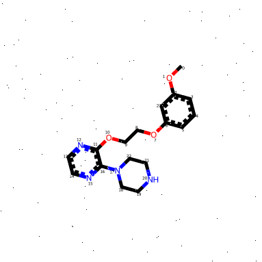 COc1cccc(OCCOc2nccnc2N2CCNCC2)c1